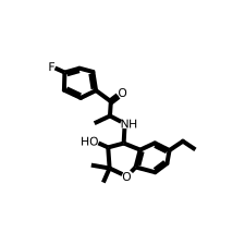 CCc1ccc2c(c1)C(NC(C)C(=O)c1ccc(F)cc1)C(O)C(C)(C)O2